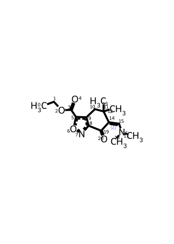 CCOC(=O)c1onc2c1CC(C)(C)/C(=C/N(C)C)C2=O